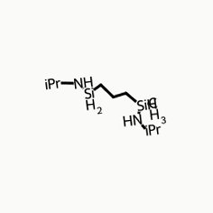 CC(C)N[SiH2]CCC[SiH](C)NC(C)C